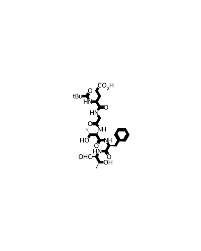 C[C@@H](O)[C@H](NC(=O)CNC(=O)C(CCC(=O)O)NC(=O)C(C)(C)C)C(=O)N[C@@H](Cc1ccccc1)C(=O)N[C@H](C=O)[C@@H](C)O